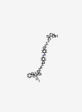 C=C(CO)C(=O)OCCCCCCOc1ccc(/C=C/c2ccc(OCCCCCCOC(=O)C(=C)CC(=O)OC3CCCCC3)cc2)cc1